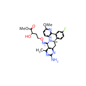 COC(=O)C(O)CCO/N=C1\N[C@@H](c2ccc(F)cc2-c2cccc(OC)n2)Cc2nc(N)nc(C)c21